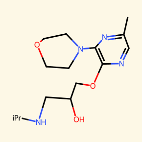 Cc1cnc(OCC(O)CNC(C)C)c(N2CCOCC2)n1